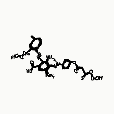 Cc1ccc(N=Nc2c(C(=O)O)cc(N)c(N=Nc3ccc(OC(=O)CS(=S)OOO)cc3)c2N)c(SOOO)c1